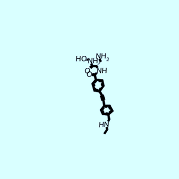 CCNCc1ccc(C#Cc2ccc(C(=O)N[C@@H](CN)C(=O)NO)cc2)cc1